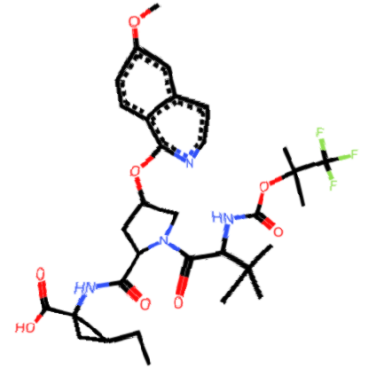 CCC1CC1(NC(=O)C1CC(Oc2nccc3cc(OC)ccc23)CN1C(=O)C(NC(=O)OC(C)(C)C(F)(F)F)C(C)(C)C)C(=O)O